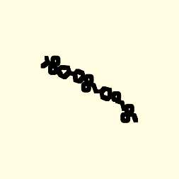 C=CC(=O)OCCCOc1ccc(CCC(=O)Oc2ccc(-c3ccc(OC(=O)C(=C)C)cc3)cc2)cc1